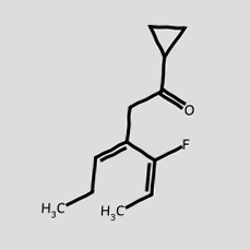 C/C=C(F)\C(=C/CC)CC(=O)C1CC1